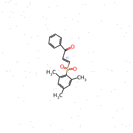 Cc1cc(C)c(S(=O)(=O)/C=C/C(=O)c2ccccc2)c(C)c1